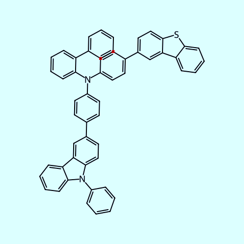 c1ccc(-c2ccccc2N(c2ccc(-c3ccc4sc5ccccc5c4c3)cc2)c2ccc(-c3ccc4c(c3)c3ccccc3n4-c3ccccc3)cc2)cc1